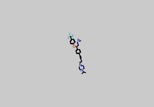 CC(C)N1CCN(CCC#Cc2ccc(C(CCN(C)C)Oc3ccc(C(F)(F)F)cc3)cc2)CC1